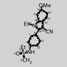 C=S(=O)(CC)Nc1ccc(-c2c(C#N)c3ccc(OC)cc3n2CC)cc1